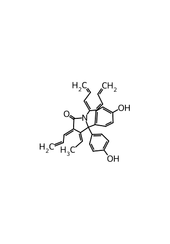 C=C/C=C\C(=C/C=C)N1C(=O)C(=C/C=C)/C(=C\C)C1(c1ccc(O)cc1)c1ccc(O)cc1